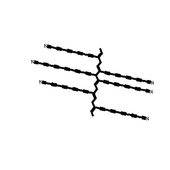 C/C=C(\C#CC#CC#CC#CC#N)C/C=C(\C#CC#CC#CC#CC#N)C/C=C(\C#CC#CC#CC#CC#N)C(C#CC#CC#CC#CC#CC#N)/C(C#CC#CC#CC#CC#N)=C/C/C(C#CC#CC#CC#CC#N)=C/C